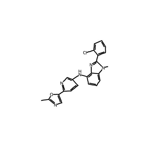 Cc1ncc(-c2ccc(Nc3cccc4c3nc(-c3ccccc3Cl)n4C)cn2)o1